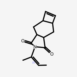 C/C=C(/C)N1C(=O)C2CC3C=CC3CC2C1=O